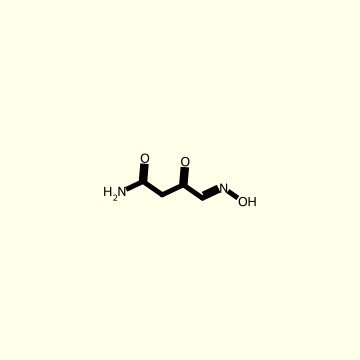 NC(=O)CC(=O)C=NO